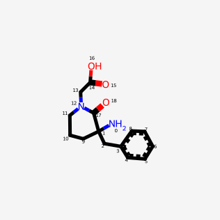 NC1(Cc2ccccc2)CCCN(CC(=O)O)C1=O